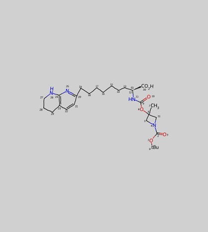 CC(C)(C)OC(=O)N1CC(C)(OC(=O)N[C@@H](CCCCCCCc2ccc3c(n2)NCCC3)C(=O)O)C1